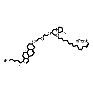 CCCCC/C=C\C/C=C\CCCCCCCCOCC(CN1CC[C@H](C)C1)OCCOCCO[C@H]1CC[C@@]2(C)C(=CCC3C2CC[C@@]2(C)C3CC[C@@H]2[C@H](C)CCCC(C)C)C1